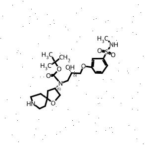 CNS(=O)(=O)c1cccc(OC[C@@H](O)CN(C(=O)OC(C)(C)C)[C@@H]2COC3(CCNCC3)C2)c1